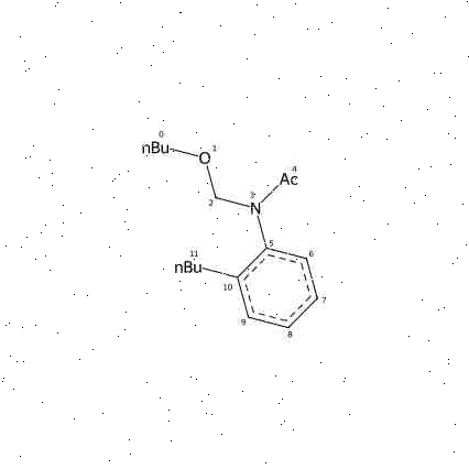 CCCCOCN(C(C)=O)c1ccccc1CCCC